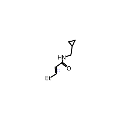 CC/C=C/C(=O)NCC1CC1